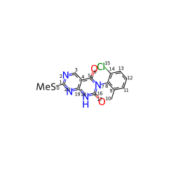 CSc1ncc2c(=O)n(-c3c(C)cccc3Cl)c(=O)[nH]c2n1